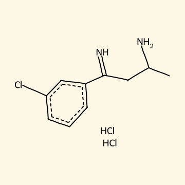 CC(N)CC(=N)c1cccc(Cl)c1.Cl.Cl